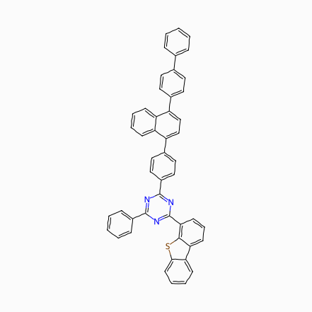 c1ccc(-c2ccc(-c3ccc(-c4ccc(-c5nc(-c6ccccc6)nc(-c6cccc7c6sc6ccccc67)n5)cc4)c4ccccc34)cc2)cc1